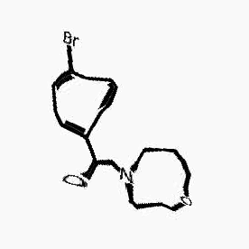 O=C(c1ccc(Br)cc1)N1CCCOCC1